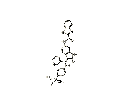 CC(C)(C(=O)O)c1ccc(N/C(=C2\C(=O)Nc3cc(NC(=O)c4nc5ccccc5[nH]4)ccc32)c2cccnc2)cc1